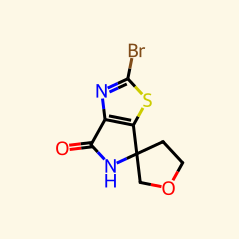 O=C1NC2(CCOC2)c2sc(Br)nc21